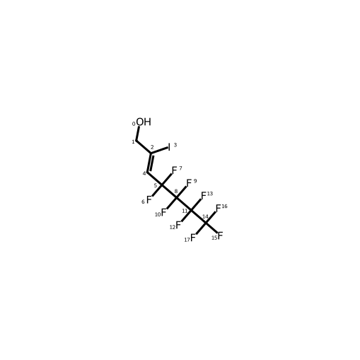 OCC(I)=CC(F)(F)C(F)(F)C(F)(F)C(F)(F)F